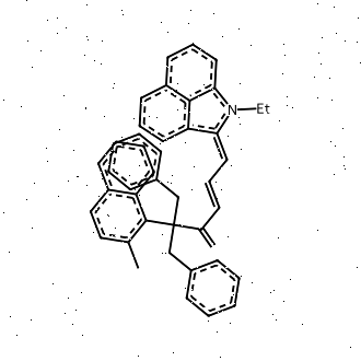 C=C(/C=C/C=c1\c2cccc3cccc(c32)n1CC)C(Cc1ccccc1)(Cc1ccccc1)c1c(C)ccc2ccccc12